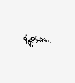 C[C@]1(c2cc(NC(=O)c3cnc(OCC(F)(F)F)cn3)ccc2F)N=C(N)S[C@@]2(C(=O)N3CCC(F)C3)C[C@H]21